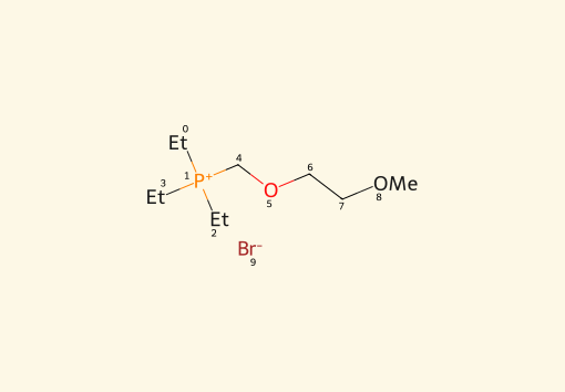 CC[P+](CC)(CC)COCCOC.[Br-]